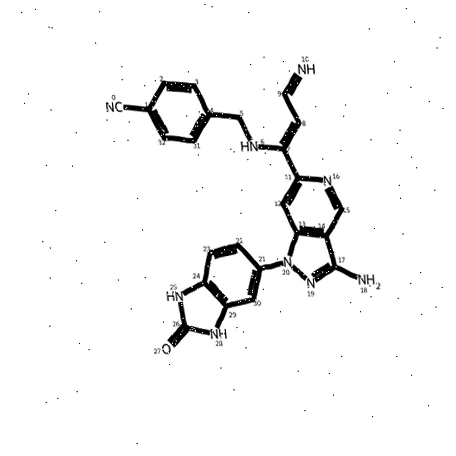 N#Cc1ccc(CN/C(=C\C=N)c2cc3c(cn2)c(N)nn3-c2ccc3[nH]c(=O)[nH]c3c2)cc1